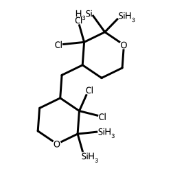 [SiH3]C1([SiH3])OCCC(CC2CCOC([SiH3])([SiH3])C2(Cl)Cl)C1(Cl)Cl